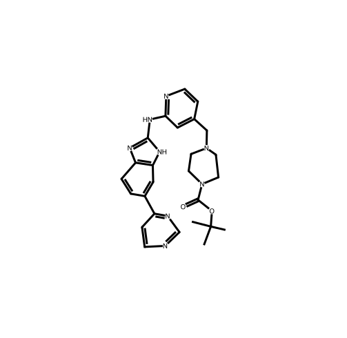 CC(C)(C)OC(=O)N1CCN(Cc2ccnc(Nc3nc4ccc(-c5ccncn5)cc4[nH]3)c2)CC1